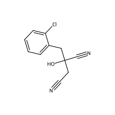 N#CCC(O)(C#N)Cc1ccccc1Cl